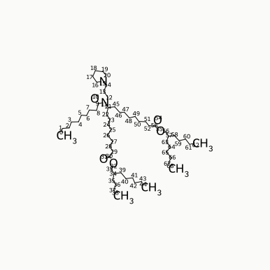 CCCCCCCCCC(=O)N(CCCN1CCCCC1)C(CCCCCCCCC(=O)OCC(CCCC)CCCCCC)CCCCCCCCC(=O)OCC(CCCCC)CCCCCC